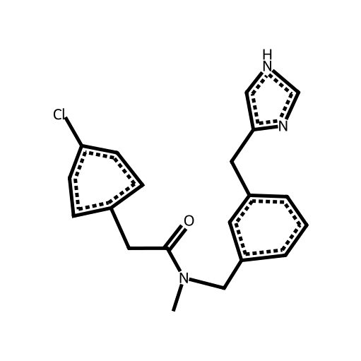 CN(Cc1cccc(Cc2c[nH]cn2)c1)C(=O)Cc1ccc(Cl)cc1